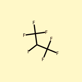 FC(F)(F)C(I)C(F)(F)F